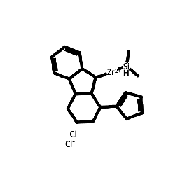 C[SiH](C)[Zr+2][CH]1C2C=CC=CC2C2CCCC(C3=CC=CC3)C21.[Cl-].[Cl-]